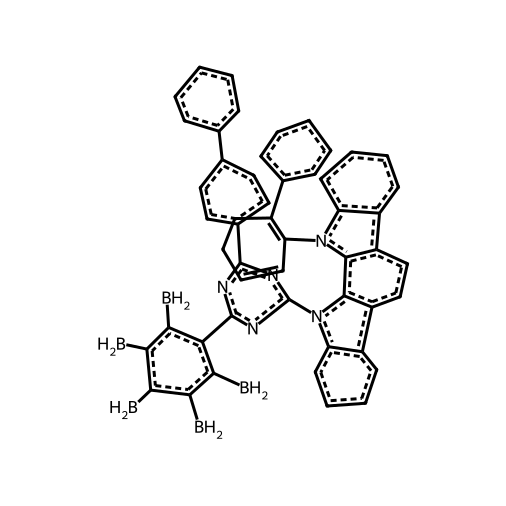 Bc1c(B)c(B)c(-c2nc(-c3ccc(-c4ccccc4)cc3)nc(-n3c4ccccc4c4ccc5c6ccccc6n(C6=C(c7ccccc7)CCC=C6)c5c43)n2)c(B)c1B